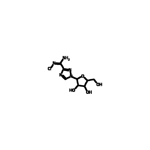 N/C(=N/Cl)c1ncn(C2OC(CO)C(O)C2O)n1